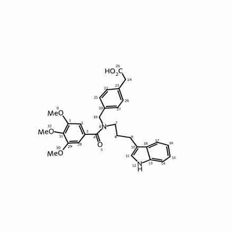 COc1cc(C(=O)N(CCCc2c[nH]c3ccccc23)Cc2ccc(CC(=O)O)cc2)cc(OC)c1OC